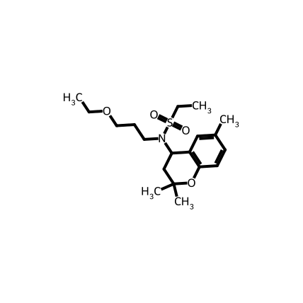 CCOCCCN(C1CC(C)(C)Oc2ccc(C)cc21)S(=O)(=O)CC